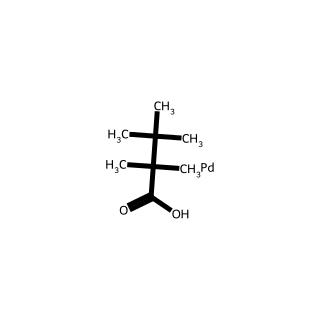 CC(C)(C)C(C)(C)C(=O)O.[Pd]